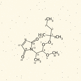 CCCC(C)(C)OOC(OC)C(C)N1C(=O)C=CC1=O